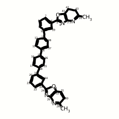 CC1=Nc2nc(-c3cccc(-c4ccc(-c5ccc(-c6cccc(-c7nc8nc(C)ccc8o7)c6)cc5)cc4)c3)oc2CC1